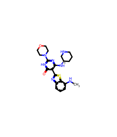 CNc1cccc2nc(-c3c(N[C@@H]4CCCNC4)nc(N4CCOCC4)[nH]c3=O)sc12